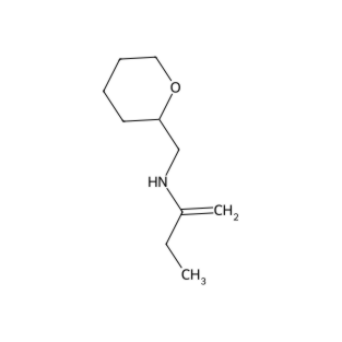 C=C(CC)NCC1CCCCO1